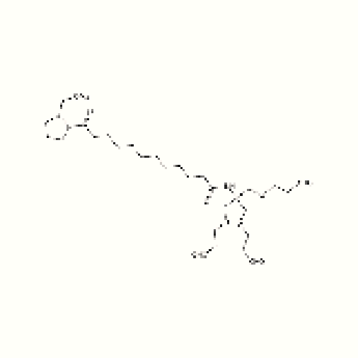 COCC1CCCN1C(=O)CCCCCCCCCCC(=O)NC(COCCC=O)(COCCC=O)COCCC=O